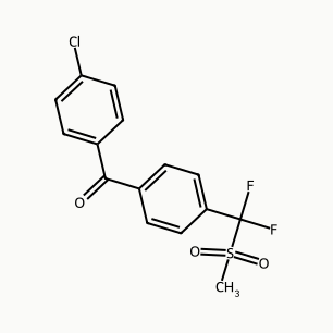 CS(=O)(=O)C(F)(F)c1ccc(C(=O)c2ccc(Cl)cc2)cc1